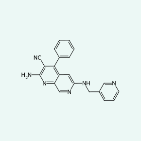 N#Cc1c(N)nc2cnc(NCc3cccnc3)cc2c1-c1ccccc1